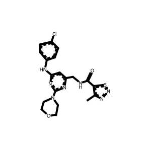 Cc1nnsc1C(=O)NCc1cc(Nc2ccc(Cl)cc2)nc(N2CCOCC2)n1